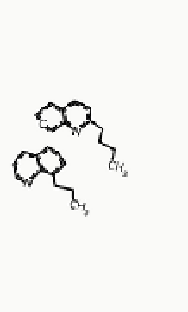 CCCCc1ccc2ccccc2n1.CCCc1cccc2cccnc12